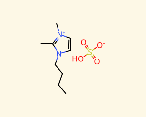 CCCCn1cc[n+](C)c1C.O=S(=O)([O-])O